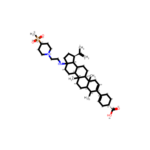 C=C(C)[C@@H]1CCC2(NCCN3CCC(S(C)(=O)=O)CC3)CCC3C(CCC4C5(C)CC=C(C6=CC[C@@H](C(=O)O)CC6)C(C)C5CCC34C)C12